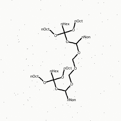 CCCCCCCCCC(OCOCOC(CCCCCCCCC)OC(CCCCCC)(OCCCCCCCC)OCCCCCCCC)OC(CCCCCC)(OCCCCCCCC)OCCCCCCCC